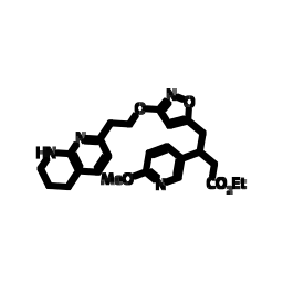 CCOC(=O)CC(Cc1cc(OCCc2ccc3c(n2)NCCC3)no1)c1ccc(OC)nc1